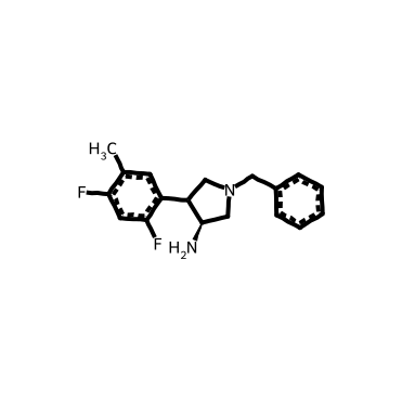 Cc1cc(C2CN(Cc3ccccc3)C[C@H]2N)c(F)cc1F